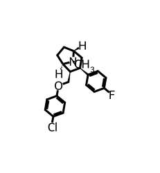 CN1[C@@H]2CC[C@@H]1[C@H](COc1ccc(Cl)cc1)[C@H](c1ccc(F)cc1)C2